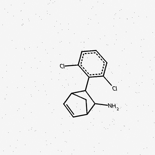 NC1C2C=CC(C2)C1c1c(Cl)cccc1Cl